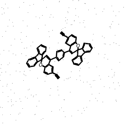 C#Cc1ccc2c(c1)C(c1ccc(C3=CC4(Oc5ccc(C#C)cc53)c3ccccc3-c3ccccc34)cc1)=CC1(O2)c2ccccc2-c2ccccc21